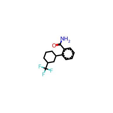 NC(=O)c1ccccc1C1CCCC(C(F)(F)F)C1